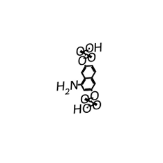 Nc1cc(OS(=O)(=O)O)cc2ccc(OS(=O)(=O)O)cc12